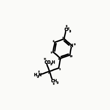 CC(N)(Cc1ccc(C(F)(F)F)nc1)C(=O)O